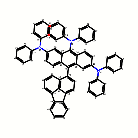 c1ccc(N(c2ccccc2)c2ccc3c(N(c4ccccc4)c4ccccc4)c4cc(N(c5ccccc5)c5ccccc5)ccc4c(-c4ccc5c6c(cccc46)-c4ccccc4-5)c3c2)cc1